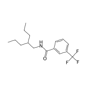 CCCC(CCC)CNC(=O)c1cccc(C(F)(F)F)c1